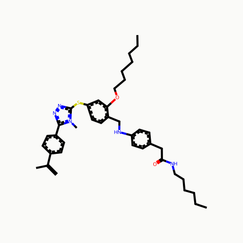 C=C(C)c1ccc(-c2nnc(Sc3ccc(CNc4ccc(CC(=O)NCCCCCC)cc4)c(OCCCCCCC)c3)n2C)cc1